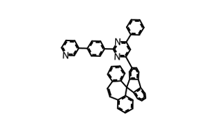 C1=Cc2ccccc2C2(c3ccccc31)c1ccccc1-c1ccc(-c3cc(-c4ccccc4)nc(-c4ccc(-c5cccnc5)cc4)n3)cc12